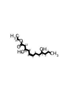 CCCC(O)CC/C=C\CC(O)CC(=O)OCC